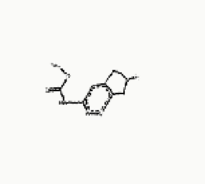 CCN1Cc2cc(NC(=O)OC(C)(C)C)nnc2C1